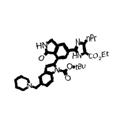 CCCc1nc(-c2cc3c(c(-c4cc5cc(CN6CCCCC6)ccc5n4C(=O)OC(C)(C)C)c2)C(=O)NC3)[nH]c1C(=O)OCC